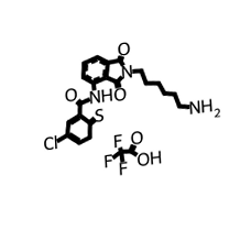 NCCCCCCN1C(=O)c2cccc(NC(=O)C3=CC(Cl)=CCC3=S)c2C1=O.O=C(O)C(F)(F)F